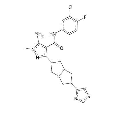 Cn1nc(C2CC3CC(c4cscn4)CC3C2)c(C(=O)Nc2ccc(F)c(Cl)c2)c1N